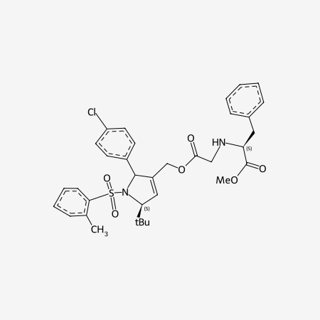 COC(=O)[C@H](Cc1ccccc1)NCC(=O)OCC1=C[C@@H](C(C)(C)C)N(S(=O)(=O)c2ccccc2C)C1c1ccc(Cl)cc1